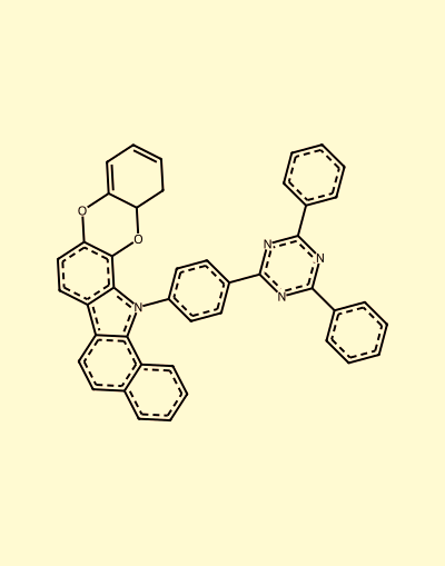 C1=CCC2Oc3c(ccc4c5ccc6ccccc6c5n(-c5ccc(-c6nc(-c7ccccc7)nc(-c7ccccc7)n6)cc5)c34)OC2=C1